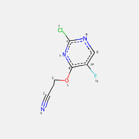 N#CCOc1nc(Cl)ncc1F